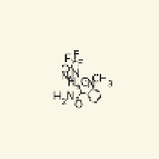 CN(C)c1ccccc1C(CCc1noc(C(F)(F)F)n1)C(N)=O